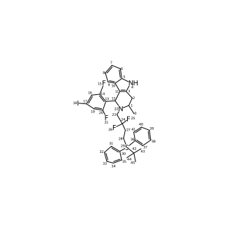 CC1Cc2[nH]c3ccccc3c2C(c2c(F)cc(I)cc2F)N1CC(F)(F)CCS(c1ccccc1)(c1ccccc1)C(C)(C)C